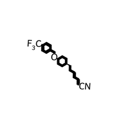 N#CC=CC=CCC[C@H]1CC[C@H](OCc2ccc(C(F)(F)F)cc2)CC1